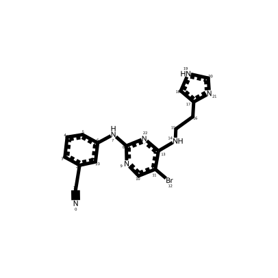 N#Cc1cccc(Nc2ncc(Br)c(NCCc3c[nH]cn3)n2)c1